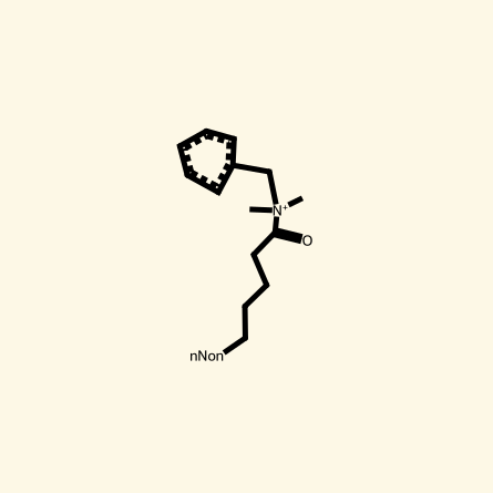 CCCCCCCCCCCCCC(=O)[N+](C)(C)Cc1ccccc1